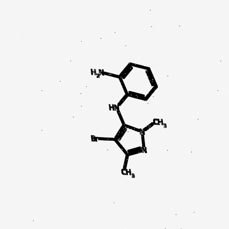 Cc1nn(C)c(Nc2ccccc2N)c1Br